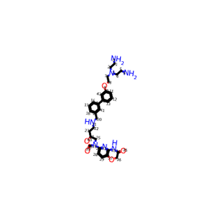 NCCN(CCN)CCOc1cccc(-c2cccc(CNCCC3CN(c4ccc5c(n4)NC(=O)CO5)C(=O)O3)c2)c1